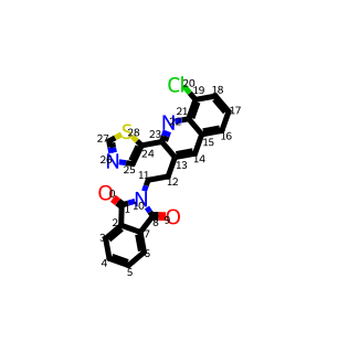 O=C1c2ccccc2C(=O)N1CCc1cc2cccc(Cl)c2nc1-c1cncs1